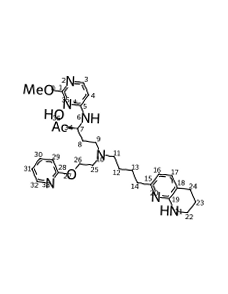 COc1nccc(N[C@@H](CCN(CCCCc2ccc3c(n2)NCCC3)CCOc2ccccn2)C(C)=O)[n+]1O